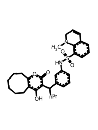 CCCC(c1cccc(NS(=O)(=O)c2cccc3c2N(C)CC=C3)c1)c1c(O)c2c(oc1=O)CCCCCC2